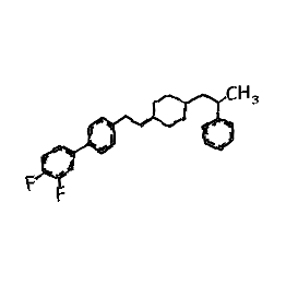 C[C@H](CC1CCC(CCc2ccc(-c3ccc(F)c(F)c3)cc2)CC1)c1ccccc1